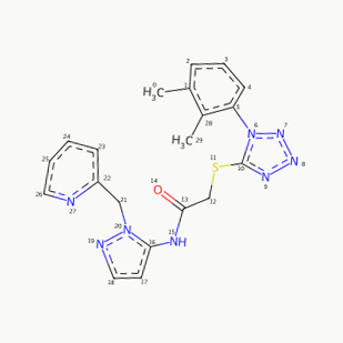 Cc1cccc(-n2nnnc2SCC(=O)Nc2ccnn2Cc2ccccn2)c1C